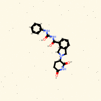 O=C1CCC(N2Cc3cccc(C(=O)NC(=O)Nc4ccccc4)c3C2)C(=O)N1